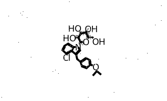 CC(C)Oc1ccc(Cc2cn([C@@H]3O[C@H](CO)[C@@H](O)[C@H](O)[C@H]3O)c3cccc(Cl)c23)cc1